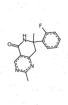 Cc1ncc2c(n1)CC(C)(c1c[c]ccc1F)NC2=O